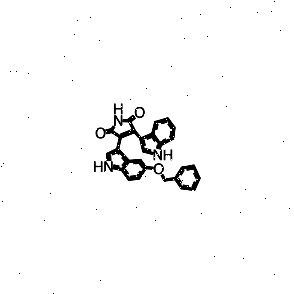 O=C1NC(=O)C(c2c[nH]c3ccc(OCc4ccccc4)cc23)=C1c1c[nH]c2ccccc12